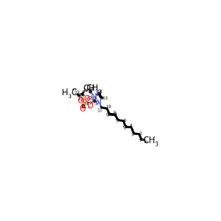 CCCCCCCCCCCCN1C=CN(CC)C1OP(=O)(OCC)OCC